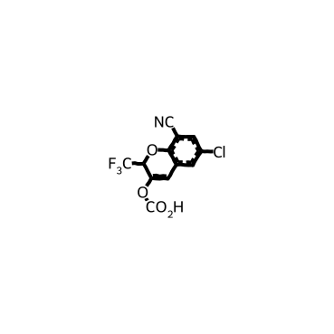 N#Cc1cc(Cl)cc2c1OC(C(F)(F)F)C(OC(=O)O)=C2